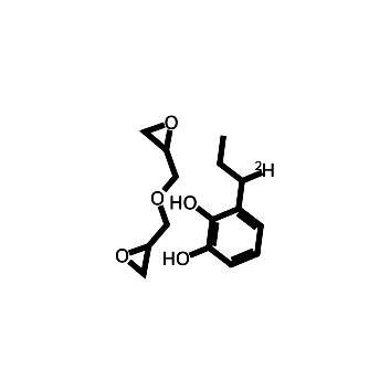 C(OCC1CO1)C1CO1.[2H]C(CC)c1cccc(O)c1O